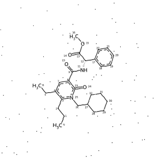 CCCc1c(CC)cc(C(=O)N[C@H](C(=O)OC)c2ccccc2)c(=O)n1CC1CCCCC1